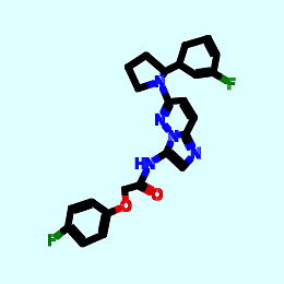 O=C(COc1ccc(F)cc1)Nc1cnc2ccc(N3CCCC3C3C=C(F)C=CC3)nn12